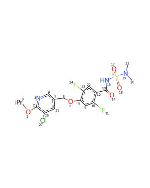 CC(C)Oc1ncc(COc2cc(F)c(C(=O)NS(=O)(=O)N(C)C)cc2F)cc1Cl